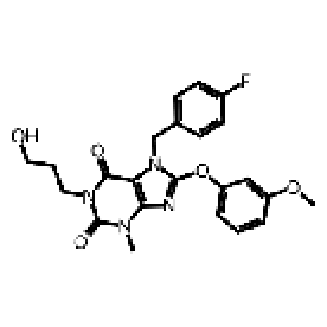 COc1cccc(Oc2nc3c(c(=O)n(CCCO)c(=O)n3C)n2Cc2ccc(F)cc2)c1